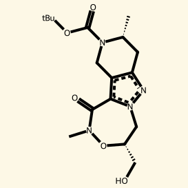 C[C@@H]1Cc2nn3c(c2CN1C(=O)OC(C)(C)C)C(=O)N(C)O[C@@H](CO)C3